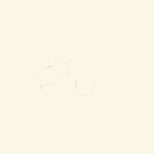 Cc1nc2ccc(C(F)(F)F)nc2n1-c1cccc(OC(F)(F)F)c1